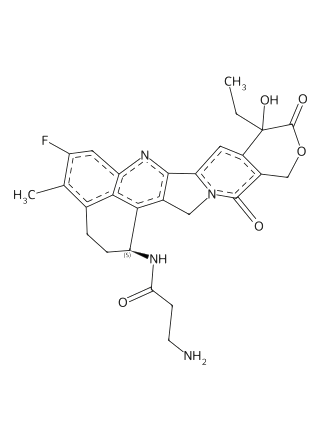 CCC1(O)C(=O)OCc2c1cc1n(c2=O)Cc2c-1nc1cc(F)c(C)c3c1c2[C@@H](NC(=O)CCN)CC3